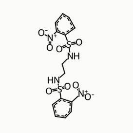 O=[N+]([O-])c1ccccc1S(=O)(=O)NCCNS(=O)(=O)c1ccccc1[N+](=O)[O-]